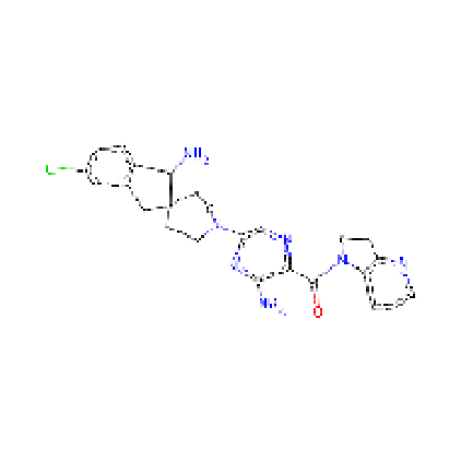 Nc1nc(N2CCC3(CC2)Cc2cc(Cl)ccc2C3N)cnc1C(=O)N1CCc2ncccc21